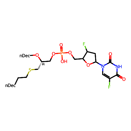 CCCCCCCCCCCCSC[C@@H](COP(=O)(O)OCC1OC(n2cc(F)c(=O)[nH]c2=O)CC1F)OCCCCCCCCCC